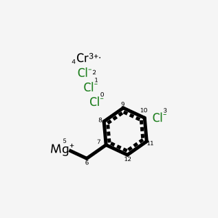 [Cl-].[Cl-].[Cl-].[Cl-].[Cr+3].[Mg+][CH2]c1ccccc1